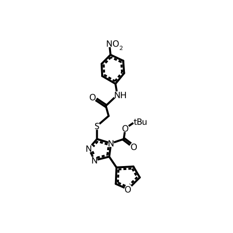 CC(C)(C)OC(=O)n1c(SCC(=O)Nc2ccc([N+](=O)[O-])cc2)nnc1-c1ccoc1